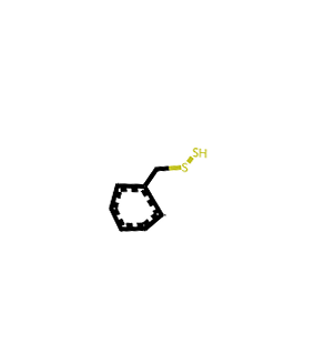 SSCc1[c]cccc1